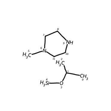 CC(C)O[SiH3].CN1CCNCC1